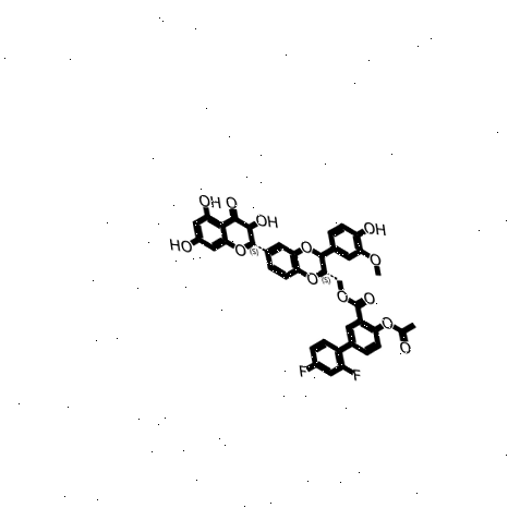 COc1cc(C2Oc3cc([C@@H]4Oc5cc(O)cc(O)c5C(=O)C4O)ccc3O[C@H]2COC(=O)c2cc(-c3ccc(F)cc3F)ccc2OC(C)=O)ccc1O